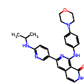 CC(C)Nc1ccc(-c2cc3cc[nH]c(=O)c3c(Nc3ccc(N4CCOCC4)cc3)n2)cn1